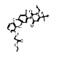 CCOC(=O)COc1ncccc1Oc1cc(-n2c(=O)cc(C(F)(F)F)n(CI)c2=O)c(F)cc1Cl